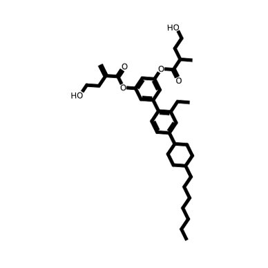 C=C(CCO)C(=O)Oc1cc(OC(=O)C(C)CCO)cc(-c2ccc(C3CCC(CCCCCCC)CC3)cc2CC)c1